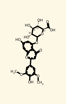 COc1cc(-c2cc(=O)c3c(OC4O[C@H](C(=O)O)[C@@H](O)[C@H](O)[C@H]4O)cc(O)cc3o2)cc(OC)c1O